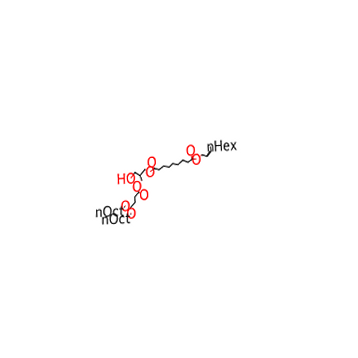 CCCCCC/C=C\COC(=O)CCCCCCCC(=O)OCC(CO)COC(=O)CCC(OCCCCCCCC)OCCCCCCCC